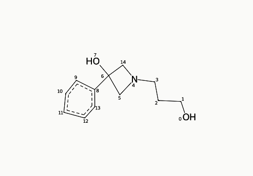 OCCCN1CC(O)(c2ccccc2)C1